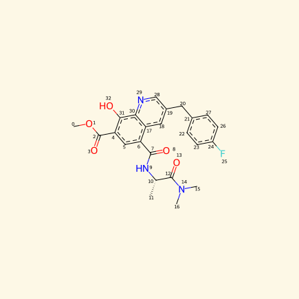 COC(=O)c1cc(C(=O)N[C@@H](C)C(=O)N(C)C)c2cc(Cc3ccc(F)cc3)cnc2c1O